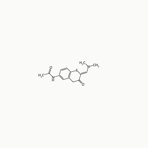 CC(=O)Nc1ccc2c(c1)CC(=O)C(=CN(C)C)S2